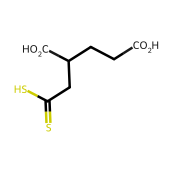 O=C(O)CCC(CC(=S)S)C(=O)O